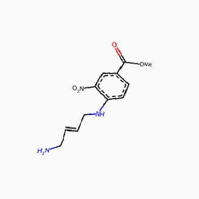 COC(=O)c1ccc(NCC=CCN)c([N+](=O)[O-])c1